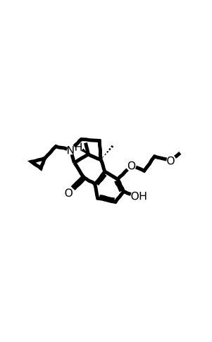 COCCOc1c(O)ccc2c1[C@]1(C)CCN(CC3CC3)C(C2=O)[C@@H]1C